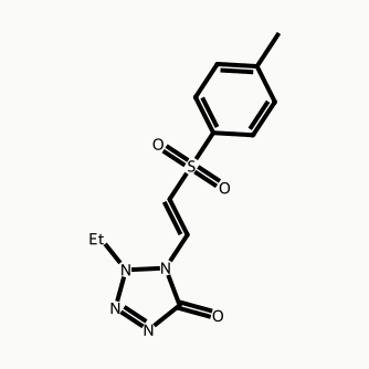 CCn1nnc(=O)n1/C=C/S(=O)(=O)c1ccc(C)cc1